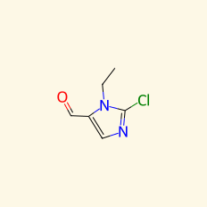 CCn1c(C=O)cnc1Cl